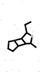 CCC1OC(C)C2C3CCCC3C12